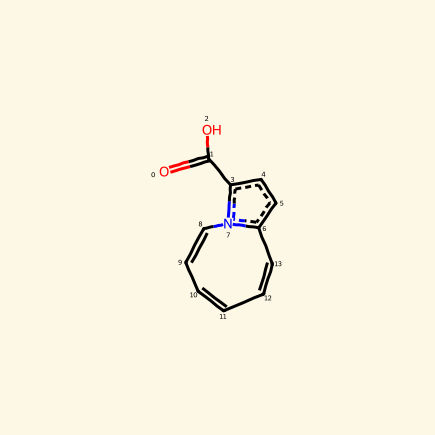 O=C(O)c1ccc2n1C=CC=CC=C2